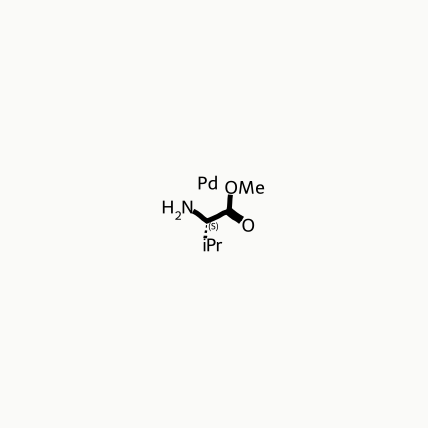 COC(=O)[C@@H](N)C(C)C.[Pd]